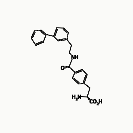 N[C@@H](Cc1ccc(C(=O)NCCc2cccc(-c3ccccc3)c2)cc1)C(=O)O